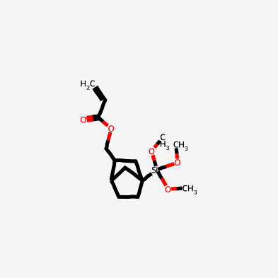 C=CC(=O)OCC1CC2([Si](OC)(OC)OC)CCC1C2